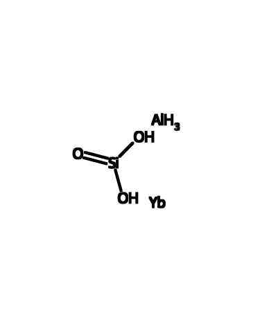 O=[Si](O)O.[AlH3].[Yb]